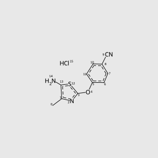 Cc1nc(Oc2ccc(C#N)cc2)sc1N.Cl